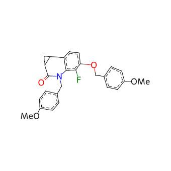 COc1ccc(COc2ccc3c(c2F)N(Cc2ccc(OC)cc2)C(=O)C2CC32)cc1